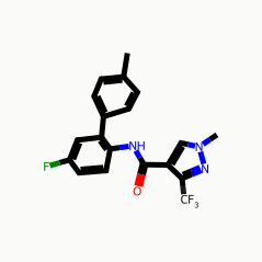 Cc1ccc(-c2cc(F)ccc2NC(=O)c2cn(C)nc2C(F)(F)F)cc1